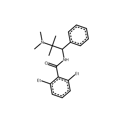 CCc1cccc(CC)c1C(=O)NC(c1ccccc1)C(C)(C)N(C)C